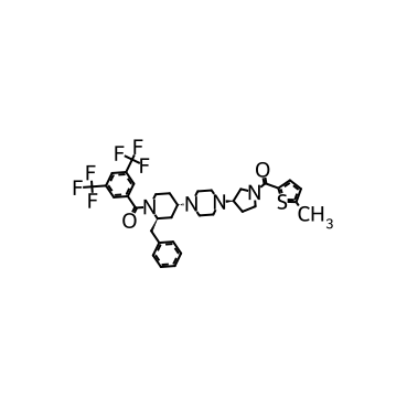 Cc1ccc(C(=O)N2CC[C@@H](N3CCN([C@H]4CCN(C(=O)c5cc(C(F)(F)F)cc(C(F)(F)F)c5)[C@H](Cc5ccccc5)C4)CC3)C2)s1